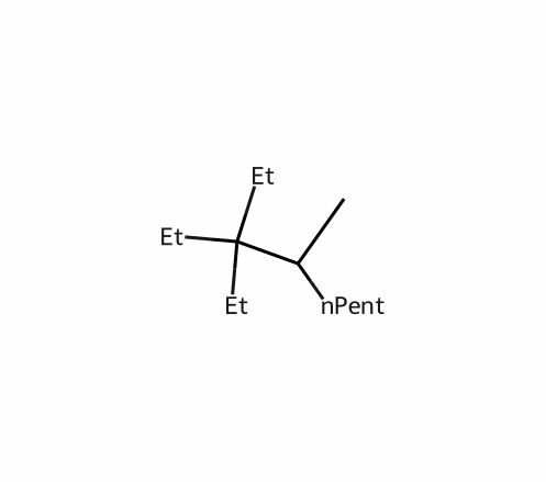 [CH2]CC(CC)(CC)C(C)CCCCC